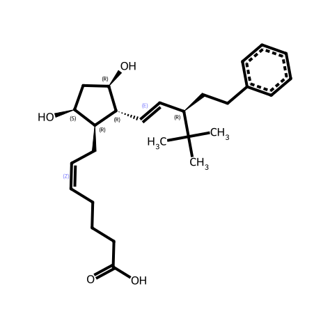 CC(C)(C)[C@@H](/C=C/[C@@H]1[C@@H](C/C=C\CCCC(=O)O)[C@@H](O)C[C@H]1O)CCc1ccccc1